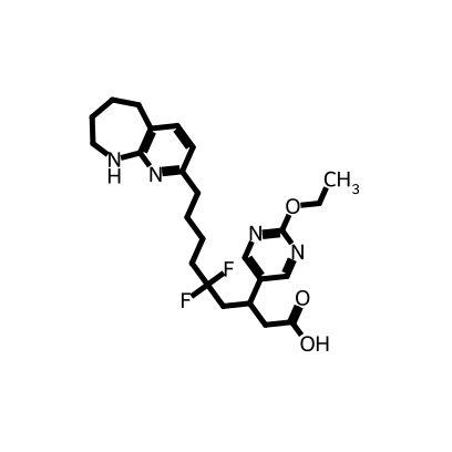 CCOc1ncc(C(CC(=O)O)CC(F)(F)CCCCc2ccc3c(n2)NCCCC3)cn1